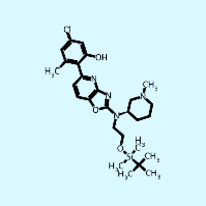 Cc1cc(Cl)cc(O)c1-c1ccc2oc(N(CCO[Si](C)(C)C(C)(C)C)[C@@H]3CCCN(C)C3)nc2n1